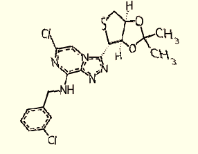 CC1(C)O[C@@H]2[C@@H](CS[C@H]2c2nnc3c(NCc4cccc(Cl)c4)nc(Cl)cn23)O1